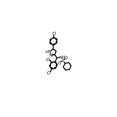 O=S(=O)(NC(C1=NNC(c2ccc(Cl)cc2)C1)c1ccc(Cl)cc1Cl)C1CCCCC1